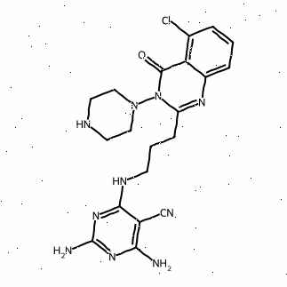 N#Cc1c(N)nc(N)nc1NCCCc1nc2cccc(Cl)c2c(=O)n1N1CCNCC1